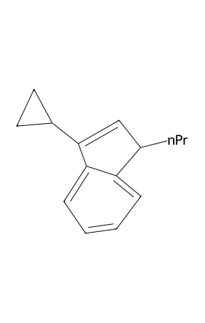 CCCC1C=C(C2CC2)c2ccccc21